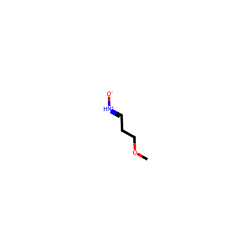 COCCC=[NH+][O-]